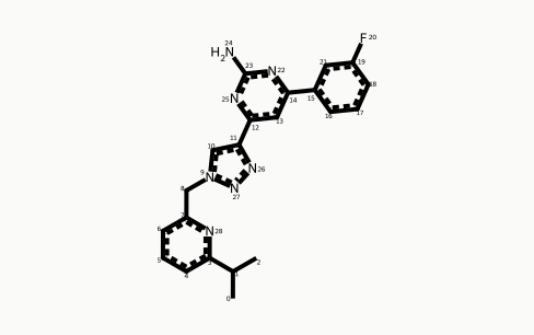 CC(C)c1cccc(Cn2cc(-c3cc(-c4cccc(F)c4)nc(N)n3)nn2)n1